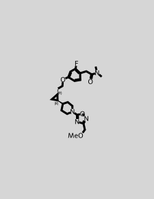 COCc1noc(N2CCC([C@H]3C[C@@H]3CCOc3ccc(CC(=O)N(C)C)c(F)c3)CC2)n1